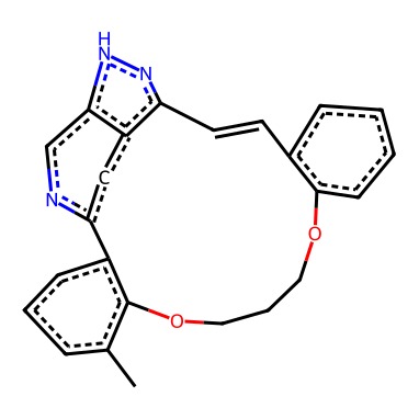 Cc1cccc2c1OCCCOc1ccccc1/C=C/c1n[nH]c3cnc-2cc13